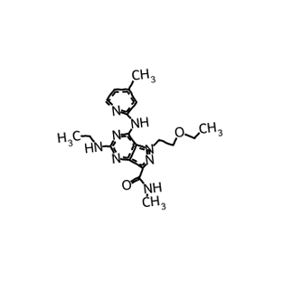 CCNc1nc(Nc2cc(C)ccn2)c2c(n1)c(C(=O)NC)nn2CCOCC